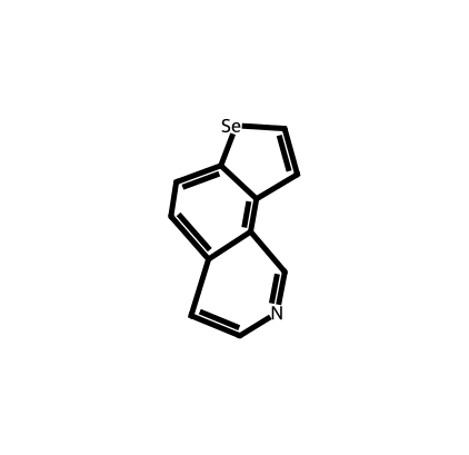 c1cc2ccc3[se]ccc3c2cn1